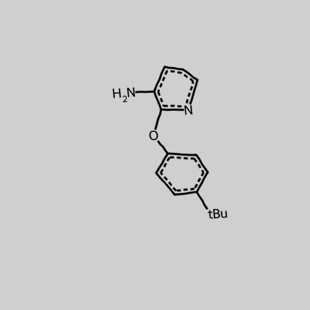 CC(C)(C)c1ccc(Oc2ncccc2N)cc1